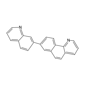 c1cnc2cc(-c3ccc4c(ccc5cccnc54)c3)ccc2c1